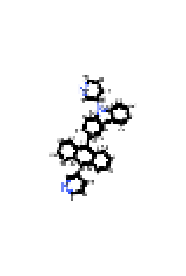 c1cncc(-c2c3ccccc3c(-c3ccc4c(c3)c3ccccc3n4-c3cccnc3)c3ccccc23)c1